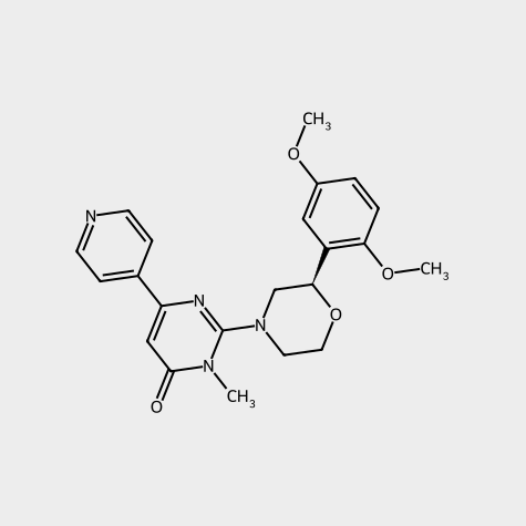 COc1ccc(OC)c([C@@H]2CN(c3nc(-c4ccncc4)cc(=O)n3C)CCO2)c1